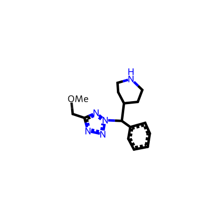 COCc1nnn(C(c2ccccc2)C2CCNCC2)n1